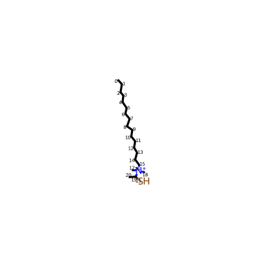 CCCCCCCCCCCCCCCC[N+](C)(C)C(C)S